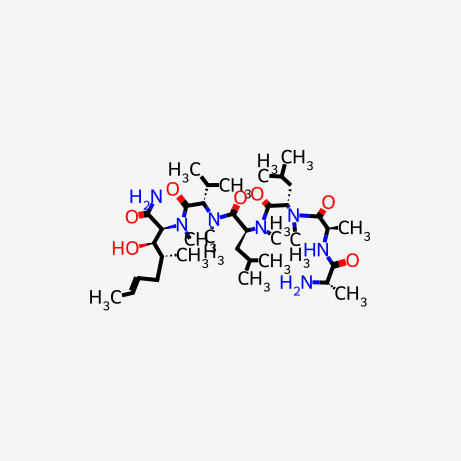 C/C=C/C[C@@H](C)[C@@H](O)[C@@H](C(N)=O)N(C)C(=O)[C@H](C(C)C)N(C)C(=O)[C@H](CC(C)C)N(C)C(=O)[C@H](CC(C)C)N(C)C(=O)[C@@H](C)NC(=O)[C@H](C)N